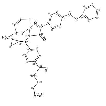 CC1C=CCC2(C1)N=C(c1ccc(OCc3ccccc3)cc1)C(=O)N2[C@@H](c1ccc(C(=O)NCCC(=O)O)cc1)C1CC1